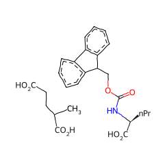 CC(CCC(=O)O)C(=O)O.CCC[C@H](NC(=O)OCC1c2ccccc2-c2ccccc21)C(=O)O